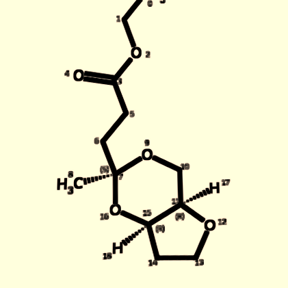 CCOC(=O)CC[C@@]1(C)OC[C@H]2OCC[C@H]2O1